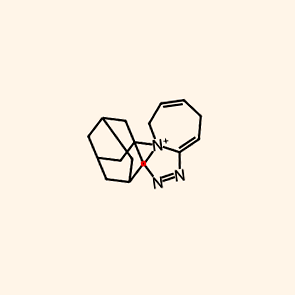 C1=CC[N+]2(C34CC5CC(CC(C5)C3)C4)CN=NC2=CC1